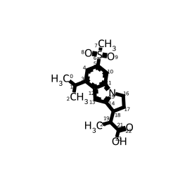 CC(C)c1cc(S(C)(=O)=O)cc2c1cc1n2CCC1C(C)C(=O)O